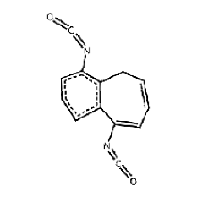 O=C=NC1=CC=CCc2c(N=C=O)cccc21